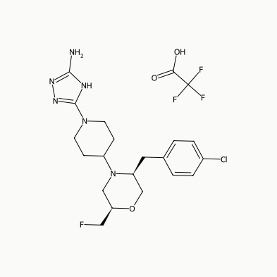 Nc1nnc(N2CCC(N3C[C@H](CF)OC[C@@H]3Cc3ccc(Cl)cc3)CC2)[nH]1.O=C(O)C(F)(F)F